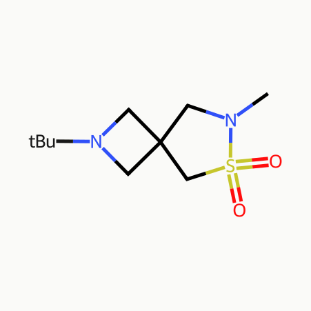 CN1CC2(CN(C(C)(C)C)C2)CS1(=O)=O